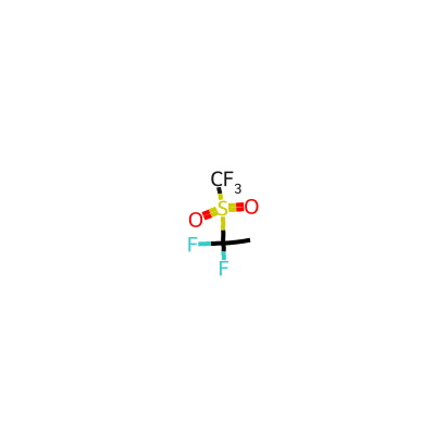 CC(F)(F)S(=O)(=O)C(F)(F)F